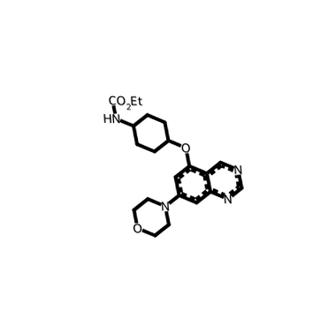 CCOC(=O)NC1CCC(Oc2cc(N3CCOCC3)cc3ncncc23)CC1